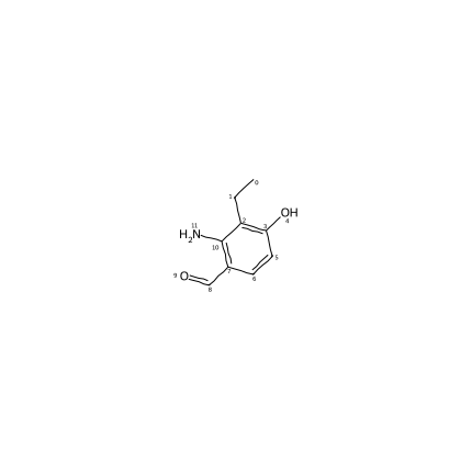 CCc1c(O)ccc(C=O)c1N